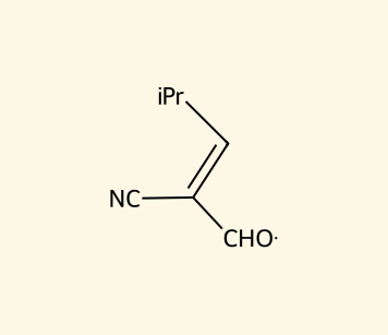 CC(C)C=C([C]=O)C#N